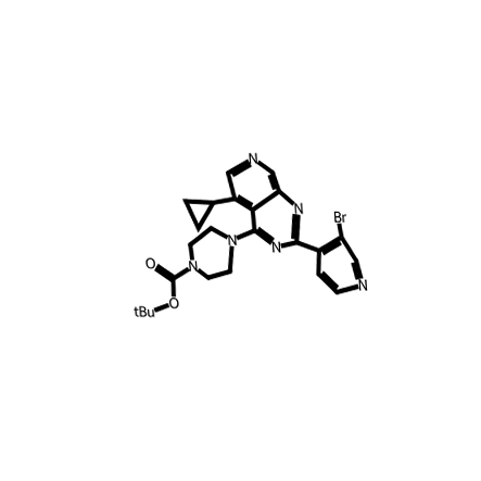 CC(C)(C)OC(=O)N1CCN(c2nc(-c3ccncc3Br)nc3cncc(C4CC4)c23)CC1